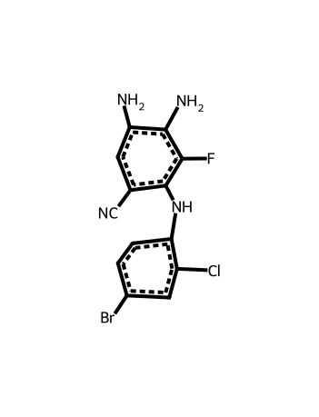 N#Cc1cc(N)c(N)c(F)c1Nc1ccc(Br)cc1Cl